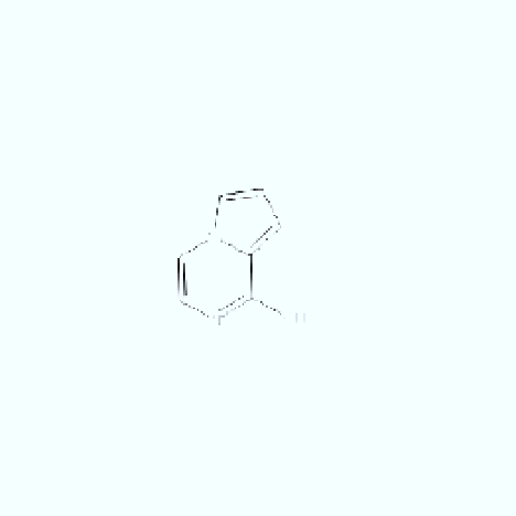 O=Cc1nccn2cccc12.[H+]